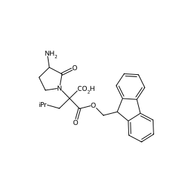 CC(C)CC(C(=O)O)(C(=O)OCC1c2ccccc2-c2ccccc21)N1CCC(N)C1=O